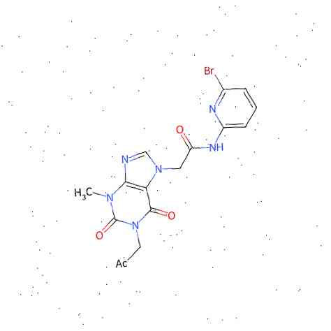 CC(=O)Cn1c(=O)c2c(ncn2CC(=O)Nc2cccc(Br)n2)n(C)c1=O